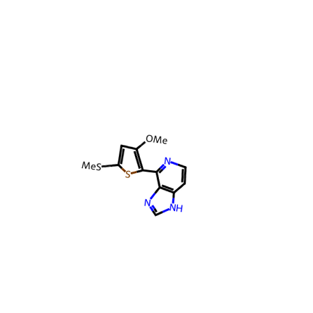 COc1cc(SC)sc1-c1nccc2[nH]cnc12